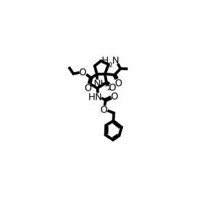 CCOC(=O)C1(N)CCCC1(C(=O)C(C)N)C(=O)C(C)NC(=O)OCc1ccccc1